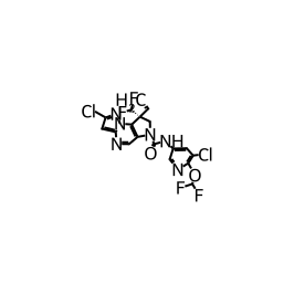 C=C[C@@]1(C(F)F)CN(C(=O)Nc2cnc(OC(F)F)c(Cl)c2)c2cnc3cc(Cl)nn3c21